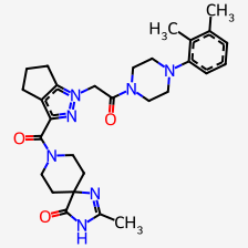 CC1=NC2(CCN(C(=O)c3nn(CC(=O)N4CCN(c5cccc(C)c5C)CC4)c4c3CCC4)CC2)C(=O)N1